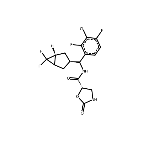 O=C1NC[C@@H](C(=O)NC(c2ccc(F)c(Cl)c2F)[C@H]2CC3[C@@H](C2)C3(F)F)O1